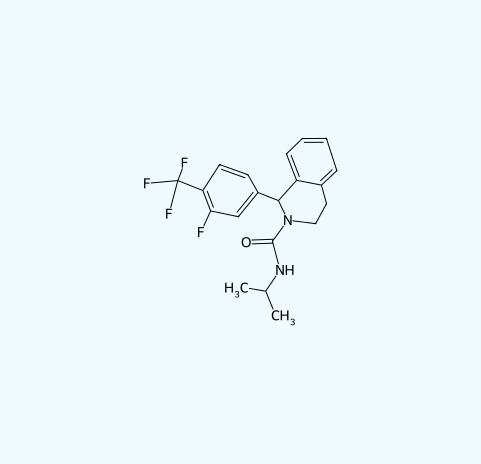 CC(C)NC(=O)N1CCc2ccccc2C1c1ccc(C(F)(F)F)c(F)c1